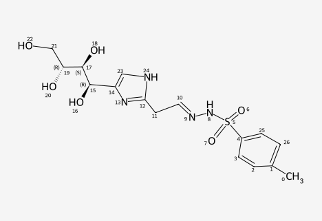 Cc1ccc(S(=O)(=O)NN=CCc2nc([C@@H](O)[C@H](O)[C@H](O)CO)c[nH]2)cc1